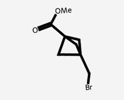 COC(=O)C12CC(CBr)(C1)C2